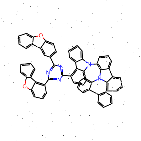 c1ccc(-c2ccccc2-n2c3ccccc3c3cccc(-n4c5ccccc5c5c(-c6nc(-c7ccc8oc9ccccc9c8c7)nc(-c7cccc8oc9ccccc9c78)n6)cccc54)c32)cc1